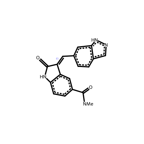 CNC(=O)c1ccc2c(c1)/C(=C\c1ccc3cn[nH]c3c1)C(=O)N2